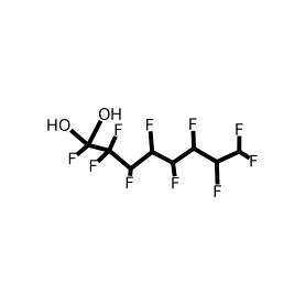 OC(O)(F)C(F)(F)C(F)C(F)C(F)C(F)C(F)C(F)F